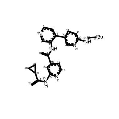 C=C(Nc1cnccc1-c1ccc(NCC(C)CC)nc1)c1ccnc(NC(=C)C2CC2)c1